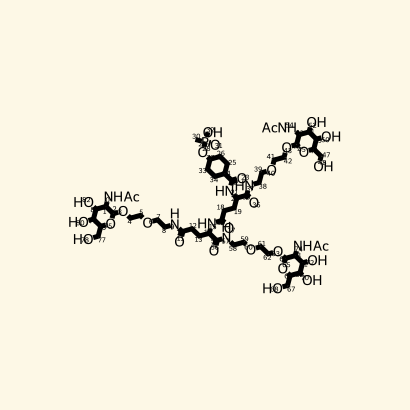 CC(=O)NC1C(OCCOCCNC(=O)CCC(NC(=O)CCC(NC(=O)C2CCC(OP(C)(=O)O)CC2)C(=O)NCCOCCOC2OC(CO)C(O)C(O)C2NC(C)=O)C(=O)NCCOCCOC2OC(CO)C(O)C(O)C2NC(C)=O)OC(CO)C(O)C1O